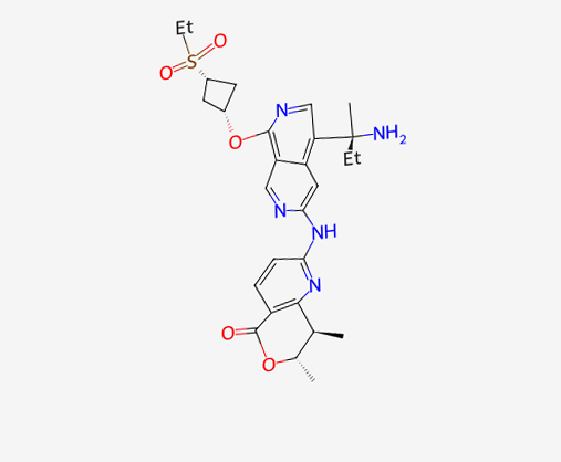 CC[C@@](C)(N)c1cnc(O[C@H]2C[C@@H](S(=O)(=O)CC)C2)c2cnc(Nc3ccc4c(n3)[C@@H](C)[C@H](C)OC4=O)cc12